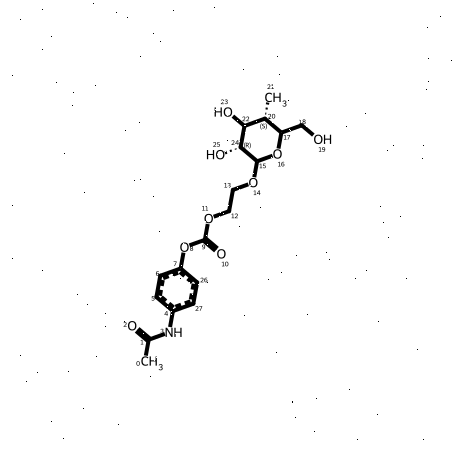 CC(=O)Nc1ccc(OC(=O)OCCOC2OC(CO)[C@@H](C)C(O)[C@H]2O)cc1